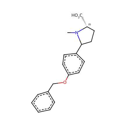 CN1C(c2ccc(OCc3ccccc3)cc2)CC[C@H]1C(=O)O